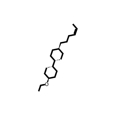 C/C=C\CCC[C@H]1CC[C@H]([C@H]2CC[C@H](OCC)CC2)CC1